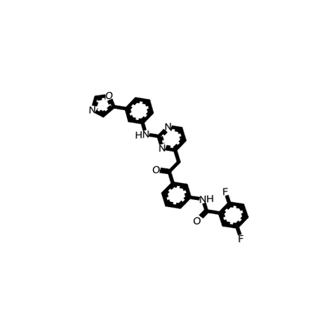 O=C(Cc1ccnc(Nc2cccc(-c3cnco3)c2)n1)c1cccc(NC(=O)c2cc(F)ccc2F)c1